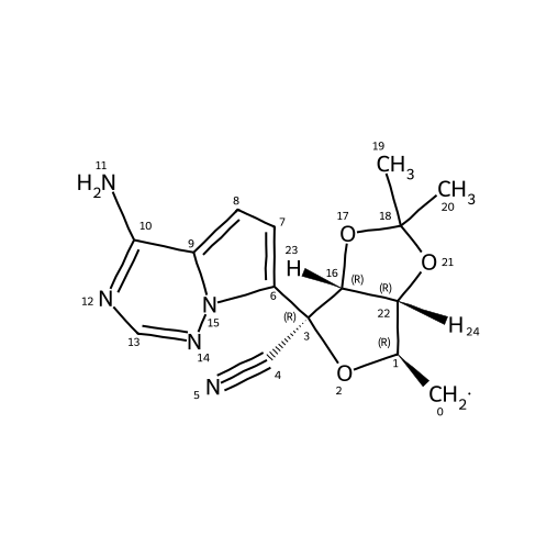 [CH2][C@H]1O[C@@](C#N)(c2ccc3c(N)ncnn23)[C@@H]2OC(C)(C)O[C@@H]21